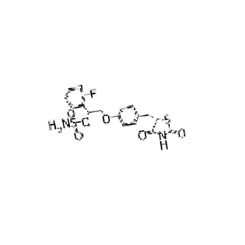 NS(=O)(=O)OC(COc1ccc(C[C@@H]2SC(=O)NC2=O)cc1)c1ccccc1F